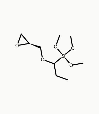 CCC(OC[C@@H]1CO1)[Si](OC)(OC)OC